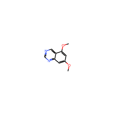 COc1cc(OC)c2cncnc2c1